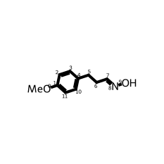 COc1ccc(CCC=NO)cc1